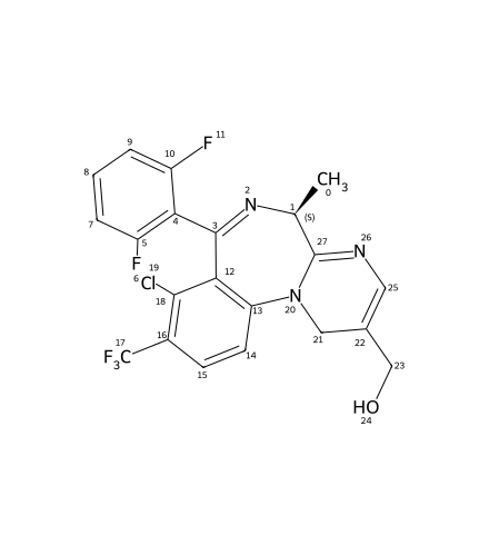 C[C@@H]1N=C(c2c(F)cccc2F)c2c(ccc(C(F)(F)F)c2Cl)N2CC(CO)=CN=C12